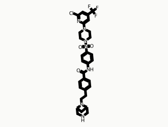 O=C(Nc1ccc(S(=O)(=O)N2CCN(c3cc(C(F)(F)F)cc(Cl)n3)CC2)cc1)c1ccc(CCN2C3CNCC2C3)cc1